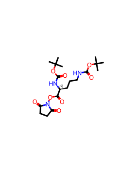 CC(C)(C)OC(=O)NCCC[C@H](NC(=O)OC(C)(C)C)C(=O)ON1C(=O)CCC1=O